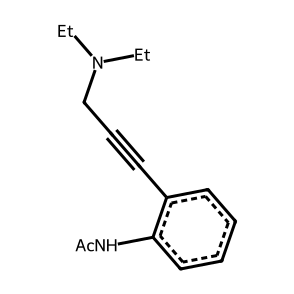 CCN(CC)CC#Cc1ccccc1NC(C)=O